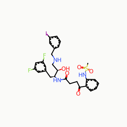 CS(=O)(=O)Nc1ccccc1C(=O)CCC(=O)N[C@@H](Cc1cc(F)cc(F)c1)[C@H](O)CNCc1cccc(I)c1